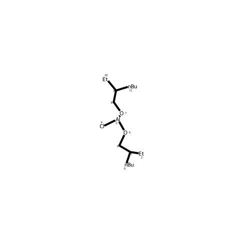 CCCCC(CC)C[O][Al]([Cl])[O]CC(CC)CCCC